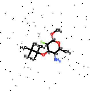 CO[C@@H]1O[C@@H](C)[C@H](N)[C@@H](O[Si](C)(C)C(C)(C)C)[C@H]1F